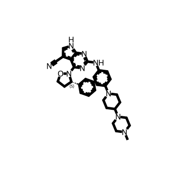 CN1CCN(C2CCN(c3ccc(Nc4nc(N5OCC[C@H]5c5ccccc5)c5c(C#N)c[nH]c5n4)cc3)CC2)CC1